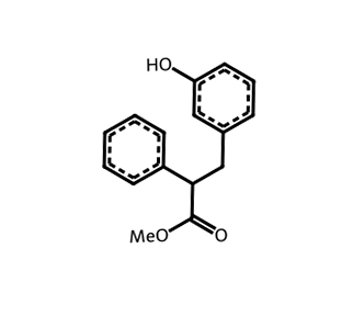 COC(=O)C(Cc1cccc(O)c1)c1ccccc1